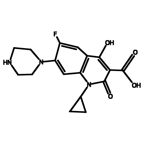 O=C(O)c1c(O)c2cc(F)c(N3CCNCC3)cc2n(C2CC2)c1=O